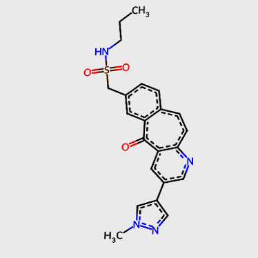 CCCNS(=O)(=O)Cc1ccc2ccc3ncc(-c4cnn(C)c4)cc3c(=O)c2c1